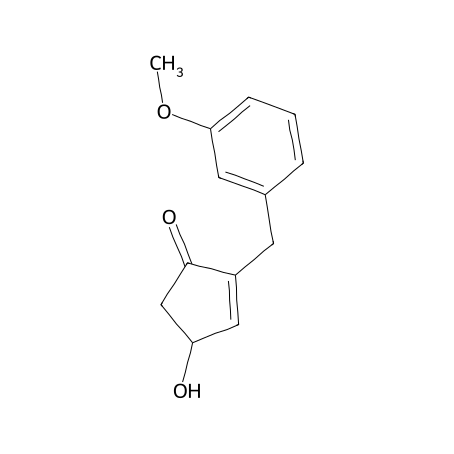 COc1cccc(CC2=CC(O)CC2=O)c1